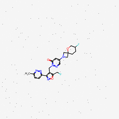 Cc1ccc(-c2noc(CF)c2Cn2ncc(N3CC4(CCC(F)CO4)C3)cc2=O)nn1